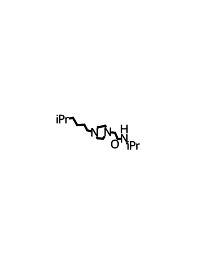 CC(C)CCCCN1CCN(CC(=O)NC(C)C)CC1